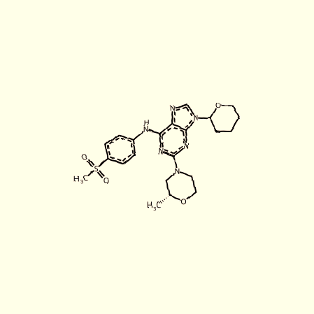 C[C@@H]1CN(c2nc(Nc3ccc(S(C)(=O)=O)cc3)c3ncn(C4CCCCO4)c3n2)CCO1